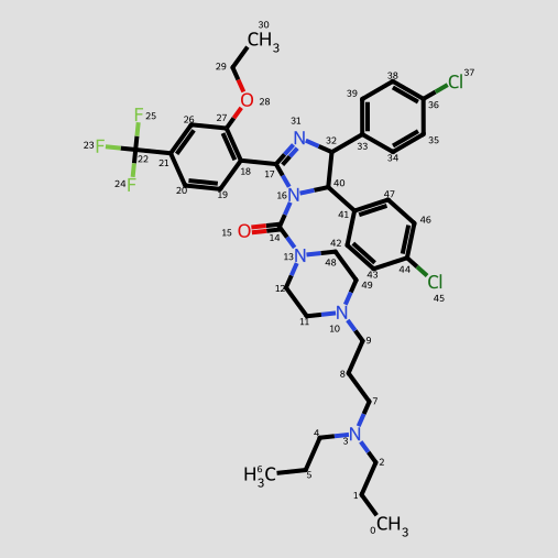 CCCN(CCC)CCCN1CCN(C(=O)N2C(c3ccc(C(F)(F)F)cc3OCC)=NC(c3ccc(Cl)cc3)C2c2ccc(Cl)cc2)CC1